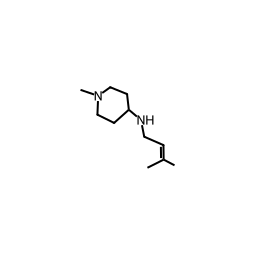 CC(C)=CCNC1CCN(C)CC1